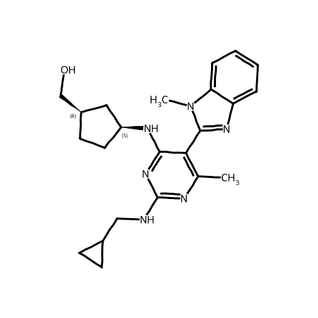 Cc1nc(NCC2CC2)nc(N[C@H]2CC[C@@H](CO)C2)c1-c1nc2ccccc2n1C